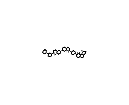 c1ccc(-c2cccc(-c3ccc4cc(-c5ccc6ccc(-c7ccc(-c8ccc9ccc%10cccnc%10c9n8)cc7)nc6c5)ccc4n3)c2)cc1